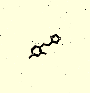 Cc1ccc(SCc2ncon2)c(C)c1